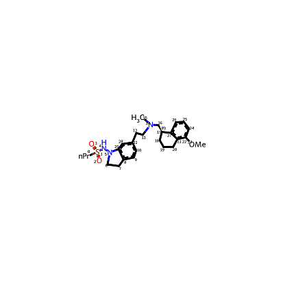 CCCS(=O)(=O)NN1CCc2ccc(CCN(C)C[C@@H]3CCCc4c(OC)cccc43)cc21